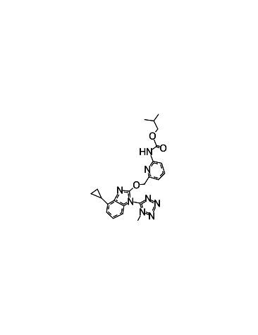 CC(C)COC(=O)Nc1cccc(COc2nc3c(C4CC4)cccc3n2-c2nnnn2C)n1